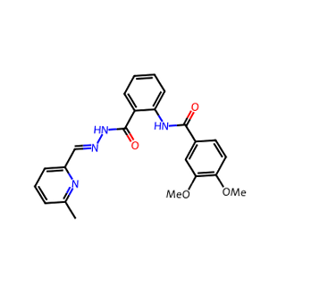 COc1ccc(C(=O)Nc2ccccc2C(=O)N/N=C/c2cccc(C)n2)cc1OC